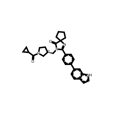 O=C(C1CC1)N1CC[C@@H](CN2C(=O)C3(CCCC3)N=C2c2ccc(-c3ccc4cc[nH]c4c3)cc2)C1